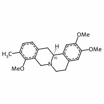 COc1cc2c(cc1OC)[C@@H]1Cc3ccc(C)c(OC)c3CN1CC2